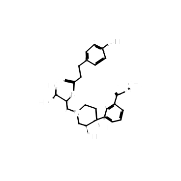 COC(=O)c1cccc([C@]2(C)CCN(CC(NC(=O)CCc3ccc(O)cc3)C(C)C)C[C@@H]2C)c1